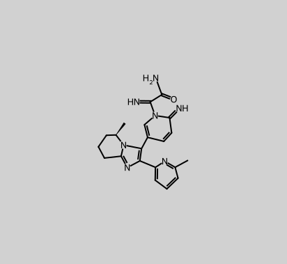 Cc1cccc(-c2nc3n(c2-c2ccc(=N)n(C(=N)C(N)=O)c2)[C@H](C)CCC3)n1